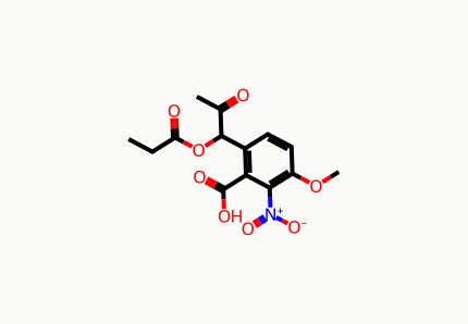 CCC(=O)OC(C(C)=O)c1ccc(OC)c([N+](=O)[O-])c1C(=O)O